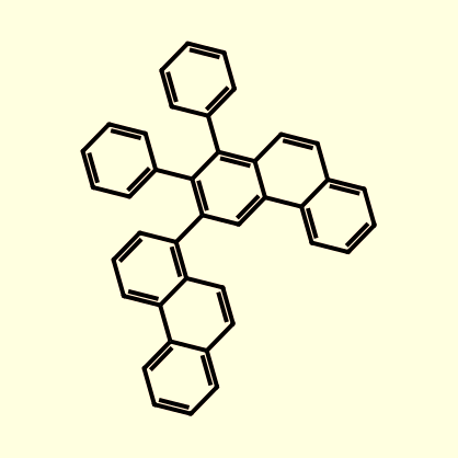 c1ccc(-c2c(-c3cccc4c3ccc3ccccc34)cc3c(ccc4ccccc43)c2-c2ccccc2)cc1